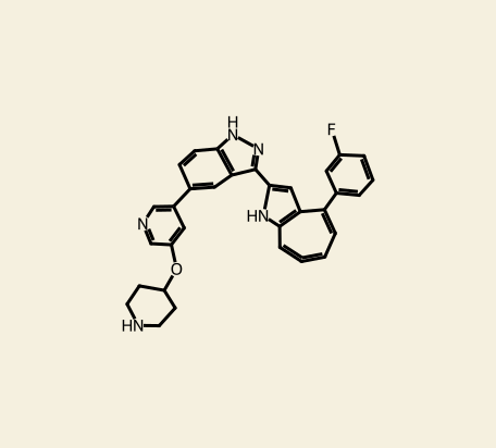 Fc1cccc(C2=CC=C=Cc3[nH]c(-c4n[nH]c5ccc(-c6cncc(OC7CCNCC7)c6)cc45)cc32)c1